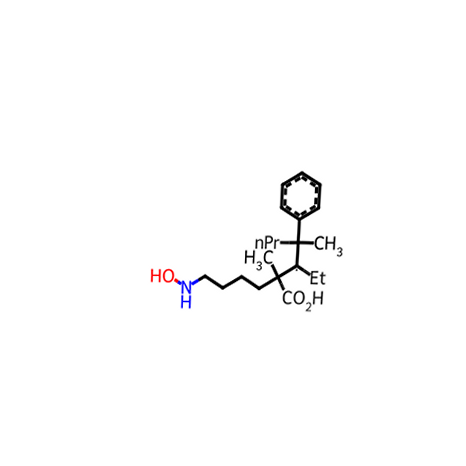 CCCC(C)([C](CC)C(C)(CCCCNO)C(=O)O)c1ccccc1